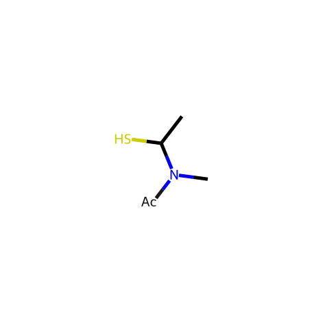 CC(=O)N(C)C(C)S